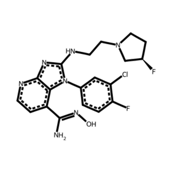 NC(=NO)c1ccnc2nc(NCCN3CC[C@@H](F)C3)n(-c3ccc(F)c(Cl)c3)c12